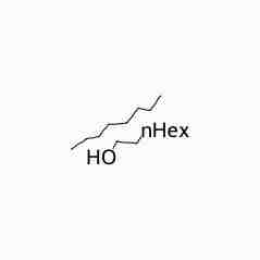 CCCCCCCC.CCCCCCCCO